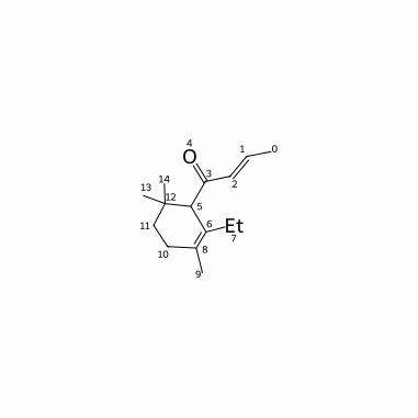 CC=CC(=O)C1C(CC)=C(C)CCC1(C)C